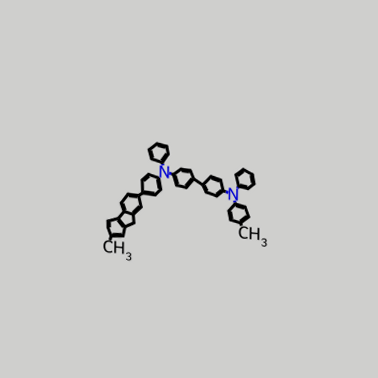 Cc1ccc(N(c2ccccc2)c2ccc(-c3ccc(N(c4ccccc4)c4ccc(-c5ccc6c(c5)Cc5cc(C)ccc5-6)cc4)cc3)cc2)cc1